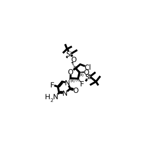 CC(C)(C)[Si](C)(C)OC[C@@]1(CCl)O[C@@H](n2cc(F)c(N)nc2=O)[C@@H](F)[C@@H]1O[Si](C)(C)C(C)(C)C